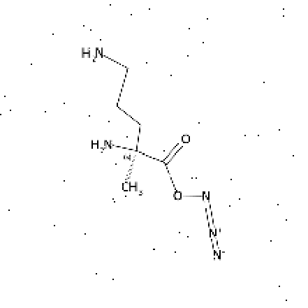 C[C@](N)(CCCN)C(=O)ON=[N+]=[N-]